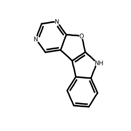 c1ccc2c(c1)[nH]c1oc3ncncc3c12